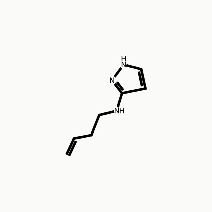 C=CCCNc1cc[nH]n1